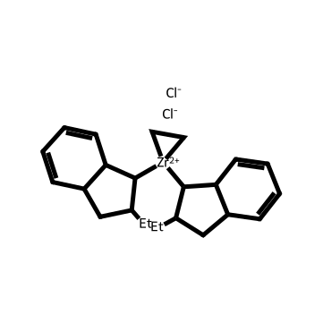 CCC1CC2C=CC=CC2[CH]1[Zr+2]1([CH]2C(CC)CC3C=CC=CC32)[CH2][CH2]1.[Cl-].[Cl-]